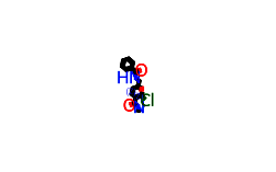 C=C(/C=C\C(C(=O)N(C)C)=C(/C)Cl)CNC(=O)c1ccccc1